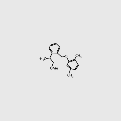 [CH2]C(COC)c1ccccc1COc1cc(C)ccc1C